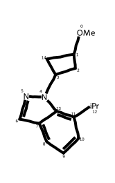 COC1CC(n2ncc3cccc(C(C)C)c32)C1